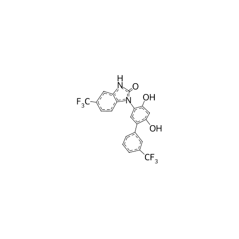 O=c1[nH]c2cc(C(F)(F)F)ccc2n1-c1cc(-c2cccc(C(F)(F)F)c2)c(O)cc1O